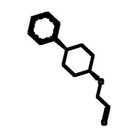 O=CCO[C@H]1CC[C@@H](c2ccccc2)CC1